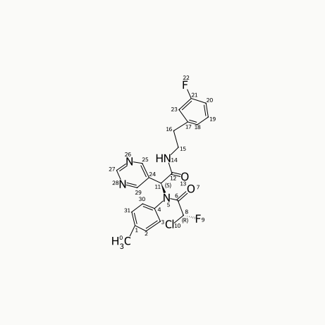 Cc1ccc(N(C(=O)[C@H](F)Cl)[C@H](C(=O)NCCc2cccc(F)c2)c2cncnc2)cc1